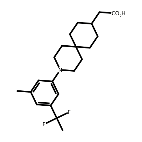 Cc1cc(N2CCC3(CCC(CC(=O)O)CC3)CC2)cc(C(C)(F)F)c1